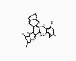 CCc1cc(C)cc(CC)c1NC1=c2cc3ccccc3cc2=C(Nc2c(CC)cc(C)cc2CC)C(=O)C1=O